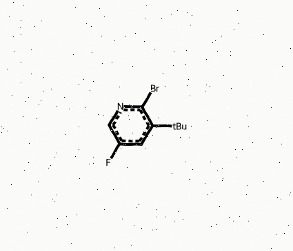 CC(C)(C)c1cc(F)cnc1Br